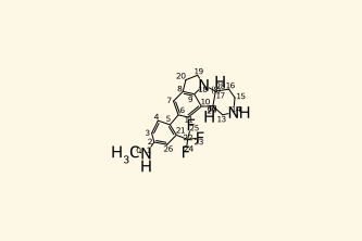 CNc1ccc(-c2cc3c4c(c2)[C@@H]2CNCC[C@@H]2N4CC3)c(C(F)(F)F)c1